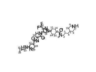 CN(CCCC1CCNCC1)C(=O)C1CCC(n2cc(NC(=O)c3coc(-c4ccnc(NCC5CC5)c4)n3)c(C(F)F)n2)CC1